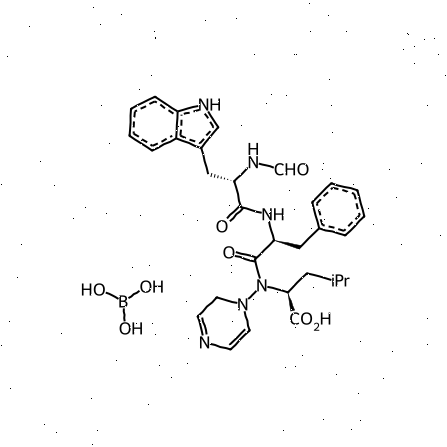 CC(C)C[C@@H](C(=O)O)N(C(=O)[C@H](Cc1ccccc1)NC(=O)[C@H](Cc1c[nH]c2ccccc12)NC=O)N1C=CN=CC1.OB(O)O